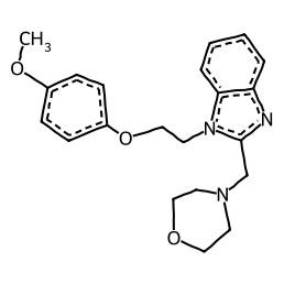 COc1ccc(OCCn2c(CN3CCOCC3)nc3ccccc32)cc1